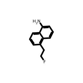 Nc1cccc2c(CCF)cccc12